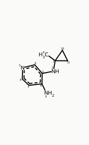 CC1(Nc2cnccc2N)CC1